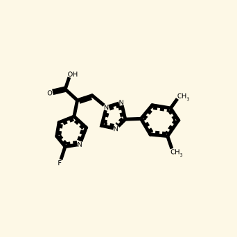 Cc1cc(C)cc(-c2ncn(/C=C(/C(=O)O)c3ccc(F)nc3)n2)c1